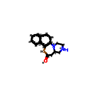 O=C1CC2CNCCN2c2ccc3ccccc3c2S1